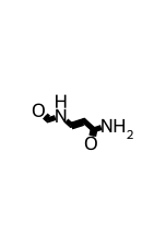 NC(=O)C=CNC=O